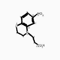 O=C(O)CCN1CCOc2ccc([N+](=O)[O-])cc21